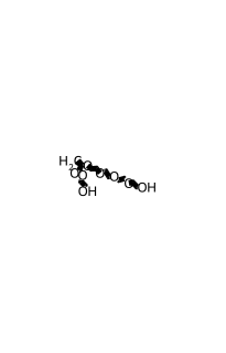 C=C(OCCOCCOCCOCCO)C(=O)OCCO